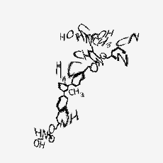 Cc1c(COc2nc(OCc3cncc(C#N)c3)c(CN[C@@](C)(CO)C(=O)O)cc2Cl)cccc1-c1cccc(-c2ccc3c(c2)CNC(COC(=O)NCCO)C3)c1C